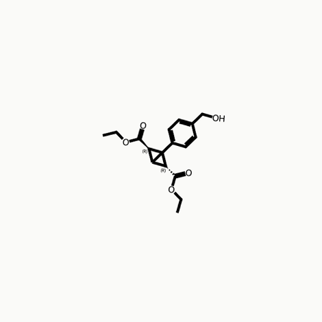 CCOC(=O)[C@@H]1C2[C@@H](C(=O)OCC)C21c1ccc(CO)cc1